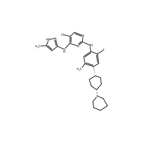 Cc1cc(Nc2nc(Nc3cc(C)c([C@H]4CC[C@@H](N5CCCCC5)CC4)cc3F)ncc2Cl)n[nH]1